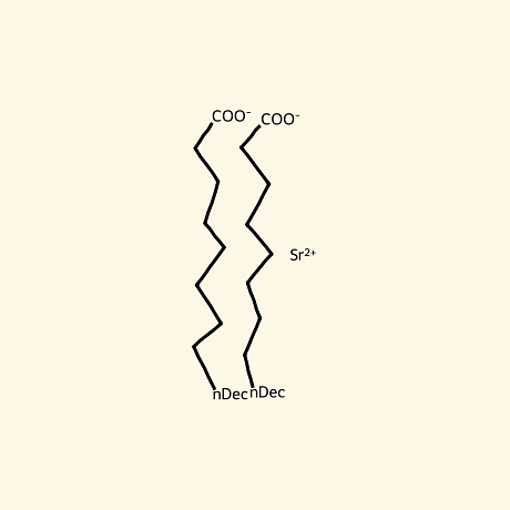 CCCCCCCCCCCCCCCCCC(=O)[O-].CCCCCCCCCCCCCCCCCC(=O)[O-].[Sr+2]